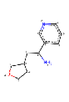 NC(CC1CCOC1)c1cccnc1